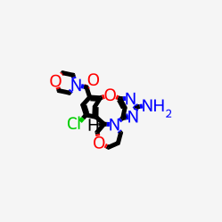 Nc1nc2cc(n1)N1CCCOC[C@@H]1c1cc(c(C(=O)N3CCOCC3)cc1Cl)O2